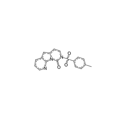 Cc1ccc(S(=O)(=O)n2ccc3cc4cccnc4n3c2=O)cc1